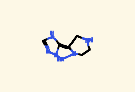 C1=NN2NN3CCNCC3=C2N1